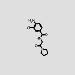 Nc1ccc(C(=O)NCC(=O)N2CCCC2)cc1Cl